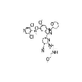 COCCNC1(C)CN(c2nc(-c3nn(C4CCCCO4)c4cc(OC)c(O[C@H](C)c5c(Cl)cncc5Cl)cc34)ccc2C#N)C1